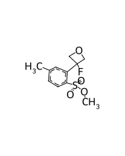 COS(=O)(=O)c1ccc(C)cc1C1(F)COC1